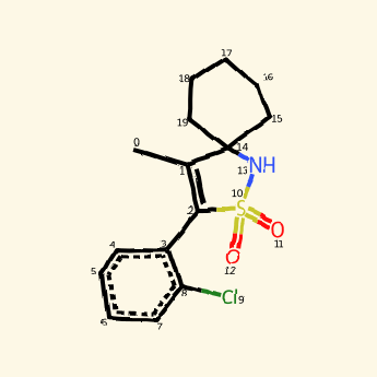 CC1=C(c2ccccc2Cl)S(=O)(=O)NC12CCCCC2